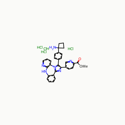 COC(=O)c1ccc(-c2nc3n(c2-c2ccc(C4(N)CCC4)cc2)-c2cccnc2Nc2ccccc2-3)cn1.Cl.Cl.Cl.Cl